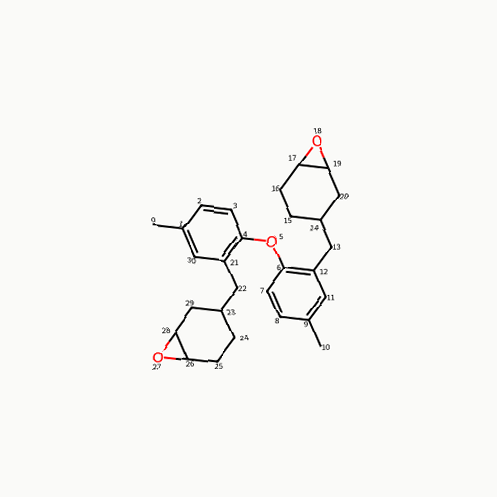 Cc1ccc(Oc2ccc(C)cc2CC2CCC3OC3C2)c(CC2CCC3OC3C2)c1